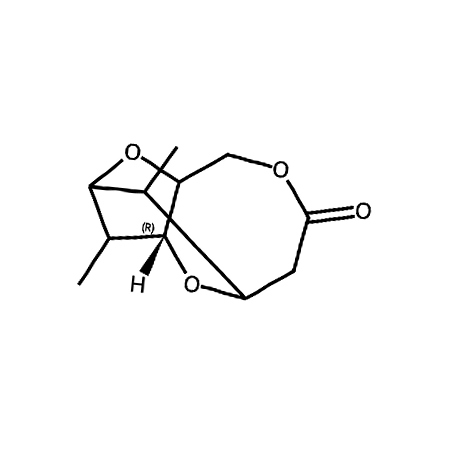 CC1C2CC(=O)OCC3OC1C(C)[C@H]3O2